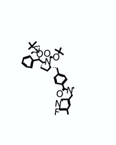 Cc1cc(CN(C)C(=O)c2ccc(C[C@@H]3CC[C@H]([C@H](O[Si](C)(C)C(C)(C)C)c4ccccc4)N3C(=O)OC(C)(C)C)cc2)cnc1F